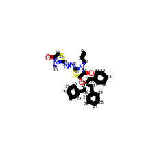 C=CCN1C(=O)C(O[Si](Cc2ccccc2)(Cc2ccccc2)Cc2ccccc2)SC1=NN=C1SCC(=O)N1C